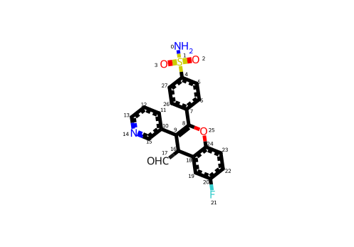 NS(=O)(=O)c1ccc(C2=C(c3cccnc3)C(C=O)c3cc(F)ccc3O2)cc1